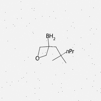 BC1(CC(C)(C)CCC)COC1